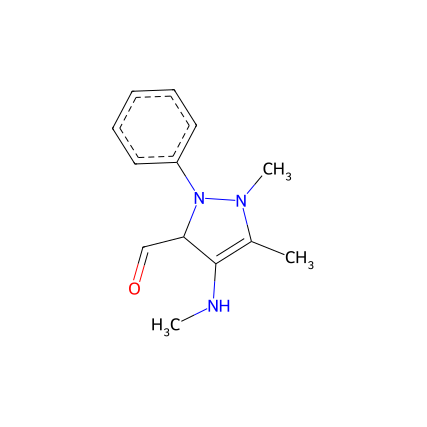 CNC1=C(C)N(C)N(c2ccccc2)C1C=O